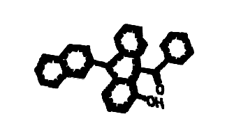 O=C(c1ccccc1)c1c2ccccc2c(-c2ccc3ccccc3c2)c2cccc(O)c12